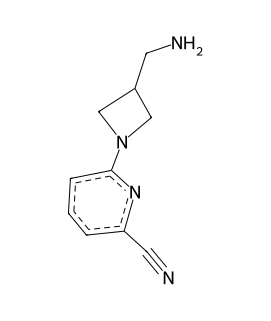 N#Cc1cccc(N2CC(CN)C2)n1